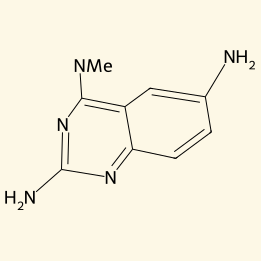 CNc1nc(N)nc2ccc(N)cc12